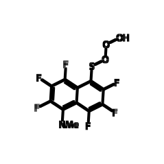 CNc1c(F)c(F)c(F)c2c(SOOO)c(F)c(F)c(F)c12